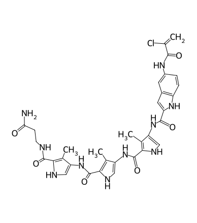 C=C(Cl)C(=O)Nc1ccc2[nH]c(C(=O)Nc3c[nH]c(C(=O)Nc4c[nH]c(C(=O)Nc5c[nH]c(C(=O)NCCC(N)=O)c5C)c4C)c3C)cc2c1